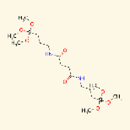 CO[Si](CCCNC(=O)CCC(=O)NCCC[Si](OC)(OC)OC)(OC)OC